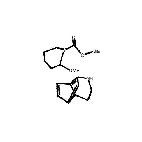 C1=CC2=C3C=C1C2CCN3.COC1CCCCN1C(=O)OC(C)(C)C